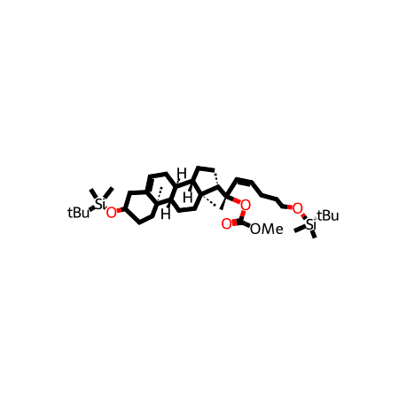 COC(=O)O[C@@](C)(/C=C\CCCO[Si](C)(C)C(C)(C)C)[C@H]1CC[C@H]2[C@@H]3CC=C4CC(O[Si](C)(C)C(C)(C)C)CC[C@]4(C)[C@H]3CC[C@@]21C